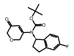 CC(C)(C)OC(=O)N(C1=CC(=O)COC1)[C@@H]1CCc2cc(F)ccc21